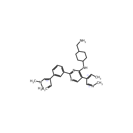 C=C/C(=C\N(C)C)c1cccc(-c2ncc(C(/C=N\C)=C/C)c(NC3CCC(CN)CC3)n2)c1